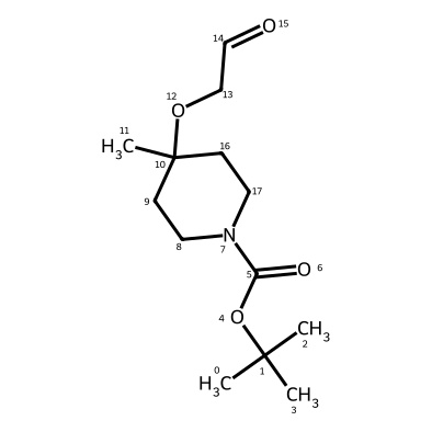 CC(C)(C)OC(=O)N1CCC(C)(OCC=O)CC1